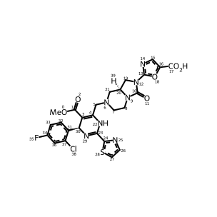 COC(=O)C1=C(CN2CCN3C(=O)N(c4ncc(C(=O)O)o4)C[C@@H]3C2)NC(c2nccs2)=N[C@H]1c1ccc(F)cc1Cl